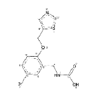 O=C(O)NCc1cc(Br)ccc1OCc1cncs1